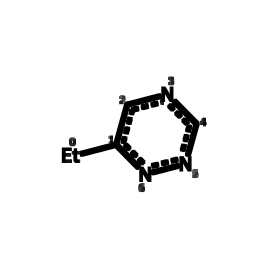 CCc1cncnn1